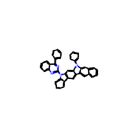 c1ccc(-c2nc(-n3c4ccccc4c4cc5c6cc7ccccc7cc6n(-c6ccccc6)c5cc43)nc3ccccc23)cc1